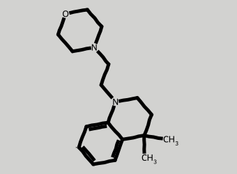 CC1(C)CCN(CCN2CCOCC2)c2c[c]ccc21